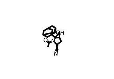 CC(=O)N1C(C#N)CC2CC21C12CC3CC(CC(C3)C1O)C2